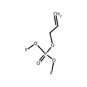 C=CCOP(=O)(OF)OF